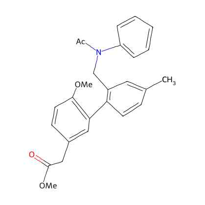 COC(=O)Cc1ccc(OC)c(-c2ccc(C)cc2CN(C(C)=O)c2ccccc2)c1